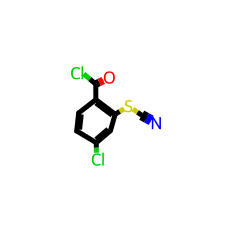 N#CSc1cc(Cl)ccc1C(=O)Cl